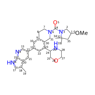 COC1CN(C(=O)N2CCc3cc(-c4cnc5[nH]cc(C)c5c4)cc(C4COCCN4)c3C2)C(C)(C)C1